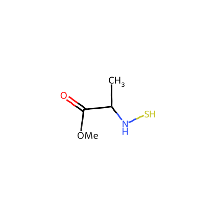 COC(=O)C(C)NS